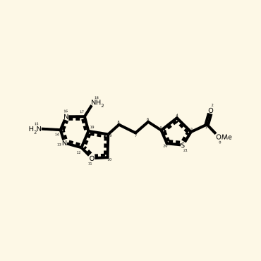 COC(=O)c1cc(CCCc2coc3nc(N)nc(N)c23)cs1